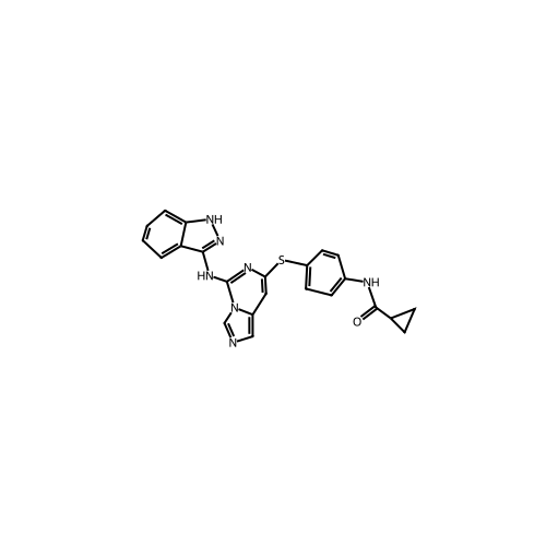 O=C(Nc1ccc(Sc2cc3cncn3c(Nc3n[nH]c4ccccc34)n2)cc1)C1CC1